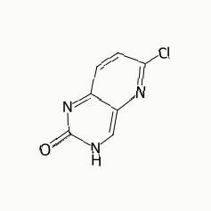 O=c1nc2ccc(Cl)nc2c[nH]1